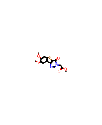 COC(=O)Cn1cnc2c(sc3cc(OC)c(OC)cc32)c1=O